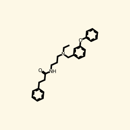 CCN(CCCNC(=O)CCc1ccccc1)Cc1cccc(Oc2ccccc2)c1